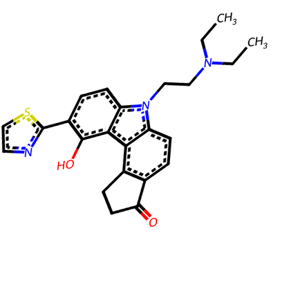 CCN(CC)CCn1c2ccc(-c3nccs3)c(O)c2c2c3c(ccc21)C(=O)CC3